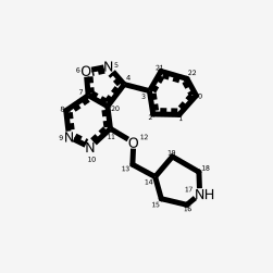 c1ccc(-c2noc3cnnc(OCC4CCNCC4)c23)cc1